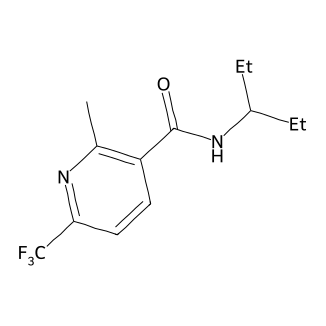 CCC(CC)NC(=O)c1ccc(C(F)(F)F)nc1C